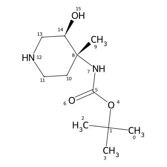 CC(C)(C)OC(=O)N[C@]1(C)CCNC[C@H]1O